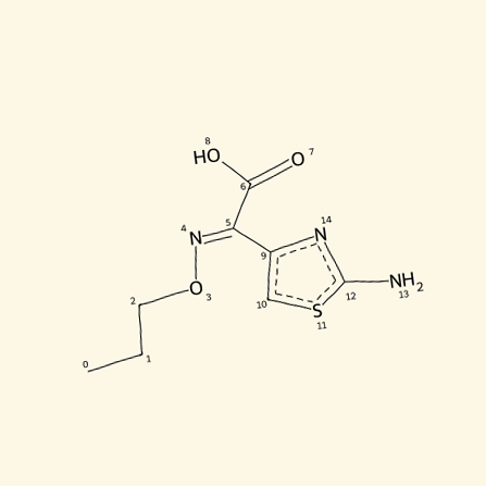 CCCO/N=C(/C(=O)O)c1csc(N)n1